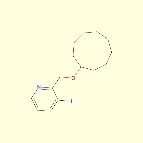 Ic1cccnc1COC1CCCCCCCC1